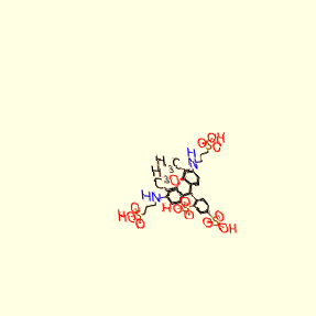 Cc1c(NCCCS(=O)(=O)O)ccc2c(-c3ccc(S(=O)(=O)O)cc3S(=O)(=O)O)c3ccc(NCCCS(=O)(=O)O)c(C)c3[o+]c12